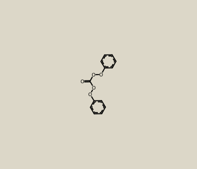 O=C(OOc1ccccc1)OOc1ccccc1